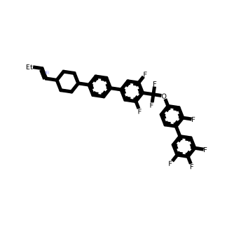 CC/C=C/C1CCC(c2ccc(-c3cc(F)c(C(F)(F)Oc4ccc(-c5cc(F)c(F)c(F)c5)c(F)c4)c(F)c3)cc2)CC1